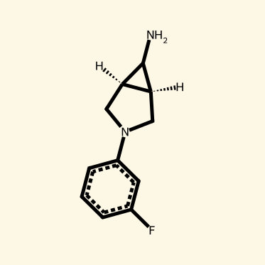 NC1[C@H]2CN(c3cccc(F)c3)C[C@@H]12